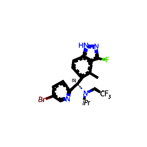 Cc1c([C@@H](c2ccc(Br)cn2)N(CC(F)(F)F)C(C)C)ccc2[nH]nc(F)c12